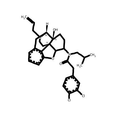 C=CCN1CC[C@]23c4c5cccc4OC2C(N(CC(C)C)C(=O)Cc2ccc(Cl)c(Cl)c2)CC[C@@]3(O)[C@H]1C5